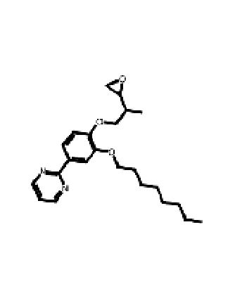 CCCCCCCCOc1cc(-c2ncccn2)ccc1OCC(C)C1CO1